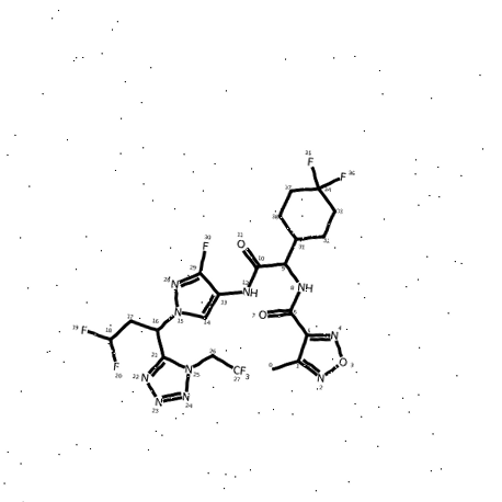 Cc1nonc1C(=O)NC(C(=O)Nc1cn(C(CC(F)F)c2nnnn2CC(F)(F)F)nc1F)C1CCC(F)(F)CC1